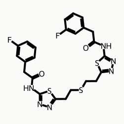 O=C(Cc1cccc(F)c1)Nc1nnc(CCSCCc2nnc(NC(=O)Cc3cccc(F)c3)s2)s1